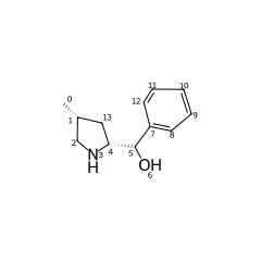 C[C@H]1CN[C@@H](C(O)c2ccccc2)C1